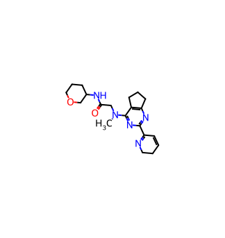 CN(CC(=O)NC1CCCOC1)c1nc(C2=NCCC=C2)nc2c1CCC2